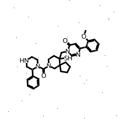 COc1ccccc1-c1cc(=O)n(CC2(S)CCN(C(=O)N3CCNCC3c3ccccc3)CC23CCCC3)cn1